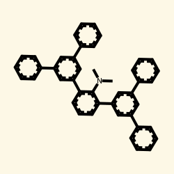 CN(C)c1c(-c2cc(-c3ccccc3)cc(-c3ccccc3)c2)cccc1-c1cc(-c2ccccc2)cc(-c2ccccc2)c1